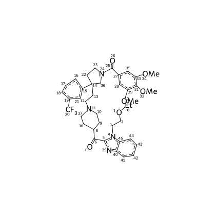 CCOCCn1c(C(=O)C2CCN(CCC3(c4cccc(C(F)(F)F)c4)CCN(C(=O)c4cc(OC)c(OC)c(OC)c4)C3)CC2)nc2ccccc21